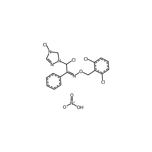 Clc1cccc(Cl)c1CON=C(c1ccccc1)C(Cl)N1CN(Cl)C=N1.O=[N+]([O-])O